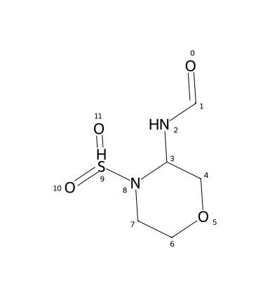 O=CNC1COCCN1[SH](=O)=O